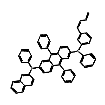 C=C/C=C\c1cccc(N(c2ccccc2)c2ccc3c(-c4ccccc4)c4cc(N(c5ccccc5)c5ccc6ccccc6c5)ccc4c(-c4ccccc4)c3c2)c1